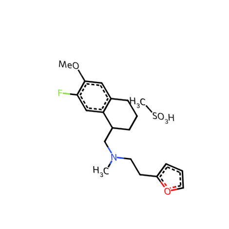 COc1cc2c(cc1F)C(CN(C)CCc1ccco1)CCC2.CS(=O)(=O)O